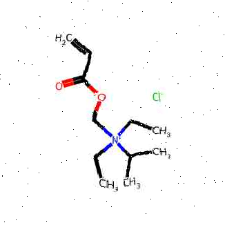 C=CC(=O)OC[N+](CC)(CC)C(C)C.[Cl-]